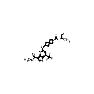 CNC(=O)c1csc2c(C(F)(F)F)cc(OC3CC4(C3)CN(C(=O)OC(C)CF)C4)nc12